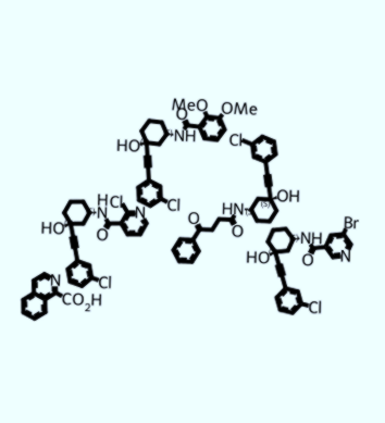 COc1cccc(C(=O)N[C@H]2CCC[C@@](O)(C#Cc3cccc(Cl)c3)C2)c1OC.O=C(CCC(=O)c1ccccc1)N[C@H]1CCC[C@@](O)(C#Cc2cccc(Cl)c2)C1.O=C(N[C@H]1CCC[C@@](O)(C#Cc2cccc(Cl)c2)C1)c1cccnc1Cl.O=C(N[C@H]1CCC[C@@](O)(C#Cc2cccc(Cl)c2)C1)c1cncc(Br)c1.O=C(O)c1nccc2ccccc12